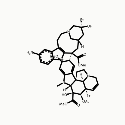 CC[C@]1(O)C[C@H]2CN(CCC3=C(Bc4ccc(N)cc43)[C@@](C(=O)OC)(C3C=C4C(=CC3OC)N(C)[C@H]3[C@@](O)(C(=O)OC)[C@H](OC(C)=O)[C@]5(CC)C=CCN6CC[C@]43[C@@H]65)C2)C1